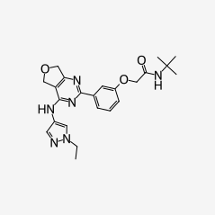 CCn1cc(Nc2nc(-c3cccc(OCC(=O)NC(C)(C)C)c3)nc3c2COC3)cn1